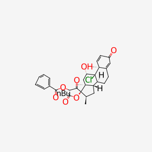 CCCCC(=O)O[C@]1(C(=O)COC(=O)c2ccccc2)[C@H](C)C[C@H]2[C@@H]3CCC4=CC(=O)C=C[C@]4(C)[C@@]3(Cl)[C@@H](O)C[C@@]21C